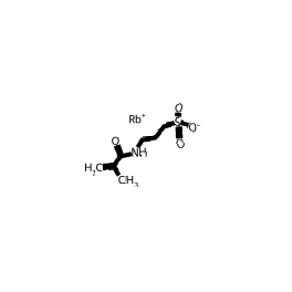 C=C(C)C(=O)NCCCS(=O)(=O)[O-].[Rb+]